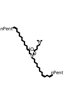 CCCCC/C=C\C/C=C\CCCCCCCCN(CCCCCCCCCCC/C=C\CCCCC)OC(O)CCCN(C)C